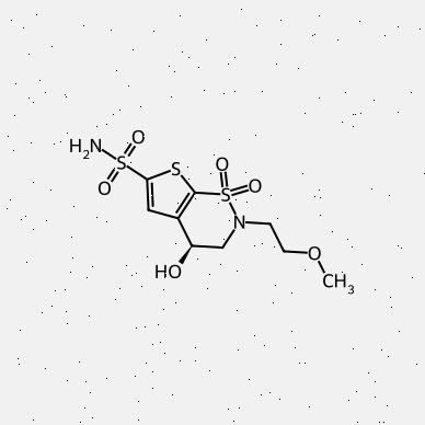 COCCN1C[C@@H](O)c2cc(S(N)(=O)=O)sc2S1(=O)=O